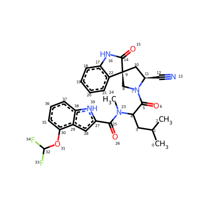 CC(C)CC(C(=O)N1C[C@]2(C[C@H]1C#N)C(=O)Nc1ccccc12)N(C)C(=O)c1cc2c(OC(F)F)cccc2[nH]1